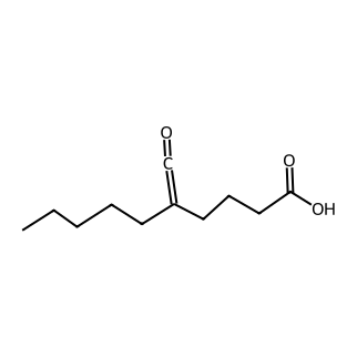 CCCCCC(=C=O)CCCC(=O)O